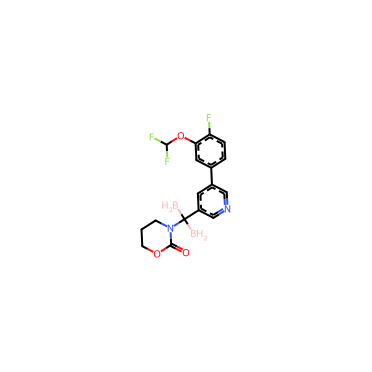 BC(B)(c1cncc(-c2ccc(F)c(OC(F)F)c2)c1)N1CCCOC1=O